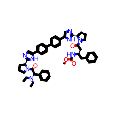 CCN(CC)[C@@H](C(=O)N1CCC[C@H]1c1ncc(-c2ccc(-c3ccc(-c4cnc([C@@H]5CCCN5C(=O)C[C@@H](Cc5ccccc5)NC(=O)OC)[nH]4)cc3)cc2)[nH]1)c1ccccc1